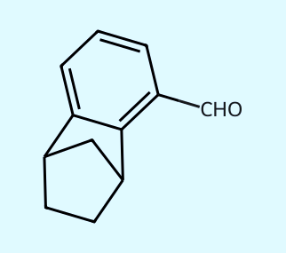 O=Cc1cccc2c1C1CCC2C1